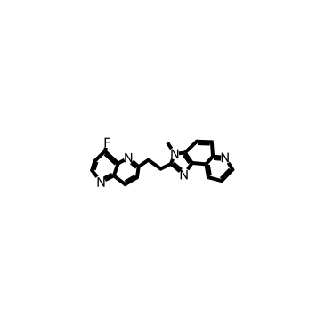 Cn1c(CCc2ccc3nccc(F)c3n2)nc2c3cccnc3ccc21